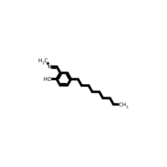 CCCCCCCCCc1ccc(O)c(/C=N/C)c1